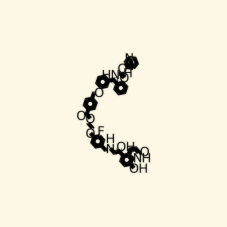 O=C(N[C@@H](c1ccccc1)c1cccc(OCc2ccc(C(=O)OCCOc3ccc(CNC[C@H](O)c4ccc(O)c5[nH]c(=O)ccc45)cc3F)cc2)c1)O[C@H]1CN2CCC1CC2